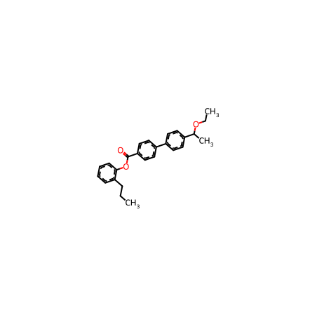 CCCc1ccccc1OC(=O)c1ccc(-c2ccc(C(C)OCC)cc2)cc1